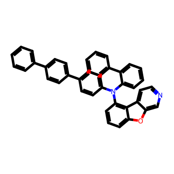 c1ccc(-c2ccc(-c3ccc(N(c4ccccc4-c4ccccc4)c4cccc5oc6cnccc6c45)cc3)cc2)cc1